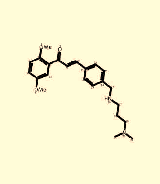 COc1ccc(OC)c(C(=O)/C=C/c2ccc(CNCCCN(C)C)cc2)c1